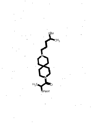 CCCCCC(C)C(=O)N1CCC2(CCN(CCCC(C)CCCC)CC2)CC1